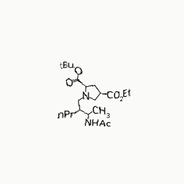 CCCC(CN1C[C@H](C(=O)OCC)C[C@@H]1C(=O)OC(C)(C)C)C(C)NC(C)=O